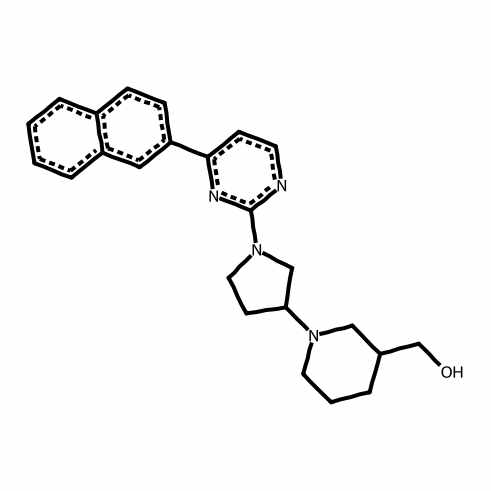 OCC1CCCN(C2CCN(c3nccc(-c4ccc5ccccc5c4)n3)C2)C1